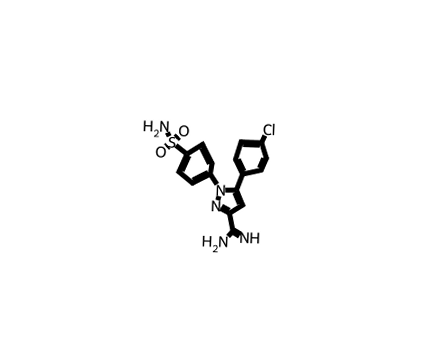 N=C(N)c1cc(-c2ccc(Cl)cc2)n(-c2ccc(S(N)(=O)=O)cc2)n1